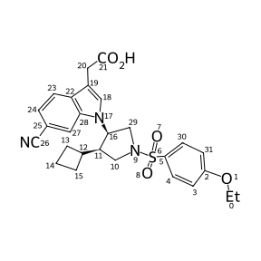 CCOc1ccc(S(=O)(=O)N2C[C@@H](C3CCC3)[C@@H](n3cc(CC(=O)O)c4ccc(C#N)cc43)C2)cc1